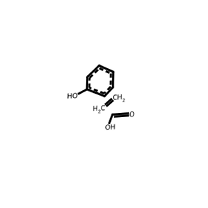 C=C.O=CO.Oc1ccccc1